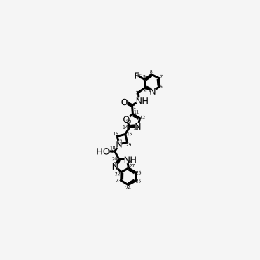 O=C(NCc1ncccc1F)c1cnc(C2CN(C(O)c3nc4ccccc4[nH]3)C2)o1